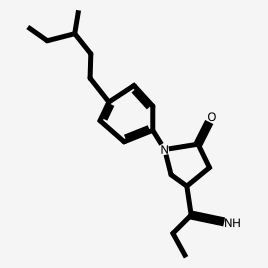 CCC(=N)C1CC(=O)N(c2ccc(CCC(C)CC)cc2)C1